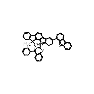 CC1(C)C2=C(C=CCC2)c2ccc3c4c(n(-c5nc(C6=CC=CCC6)c6ccccc6n5)c3c21)CCC(c1cccc2c1sc1ccccc12)=C4